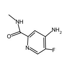 CNC(=O)c1cc(N)c(F)cn1